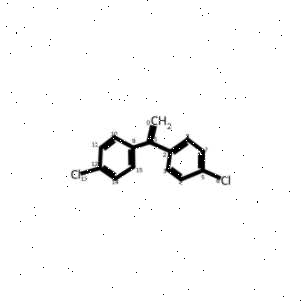 C=C(c1ccc(Cl)cc1)c1ccc(Cl)cc1